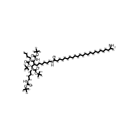 CCCCN(C(=O)OC(C)(C)C)C(NC(=O)OC(C)(C)C)C(CCCCCCNC(=O)CCCCCCCCCCCCCCCCCCCCCC(C)N)CN(CCCCNC(=O)OC(C)(C)C)C(=O)OC(C)(C)C